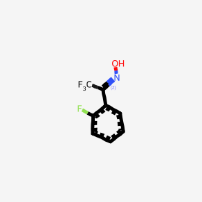 O/N=C(/c1ccccc1F)C(F)(F)F